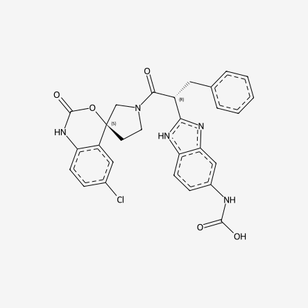 O=C(O)Nc1ccc2[nH]c([C@@H](Cc3ccccc3)C(=O)N3CC[C@]4(C3)OC(=O)Nc3ccc(Cl)cc34)nc2c1